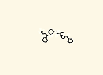 O=C(c1ccccc1)c1ccc2n1CCC2C(=O)N[C@@H]1CCC[C@H](Nc2cc(C(F)(F)F)nc3ccccc23)C1